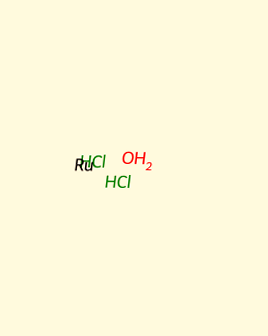 Cl.Cl.O.[Ru]